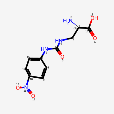 N[C@@H](CNC(=O)Nc1ccc([N+](=O)[O-])cc1)C(=O)O